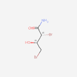 NC(=O)[C@H](Br)[C@H](O)CBr